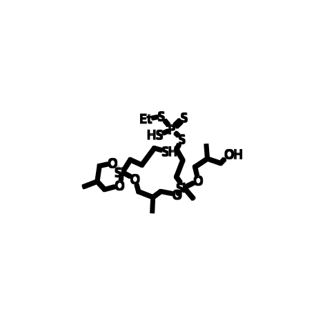 CCSP(=S)(S)SCCC[Si](C)(OCC(C)CO)OCC(C)CO[Si]1(CCCS)OCC(C)CO1